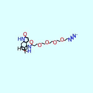 CC=C1[C@H]2C=C(C)C[C@]1(NC(=O)CCOCCOCCOCCOCCN=[N+]=[N-])c1ccc(=O)[nH]c1C2